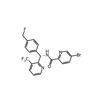 O=C(N[C@@H](c1ccc(CF)cc1)c1ncccc1C(F)(F)F)c1ccc(Br)cn1